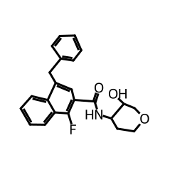 O=C(NC1CCOCC1O)c1cc(Cc2ccccc2)c2ccccc2c1F